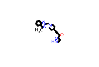 Cc1nc(CN2CCC(C#CC(=O)c3cc[nH]n3)CC2)nc2ccccc12